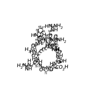 C[C@@H]1NC(=O)C2CCCC[C@H](NC(=O)CN)C(=O)N[C@@H](CCCC(C(N)=O)NC(=O)[C@H](CCCNC(=N)N)NC(=O)[C@H](Cc3cc4ccccc4[nH]3)NC1=O)C(=O)N[C@@H](CO)C(=O)N[C@@H](CC(=O)O)C(=O)N1CCCC1C(=O)N[C@@H](CCCNC(=N)N)C(=O)N2